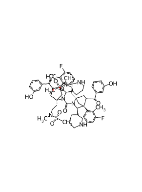 Cc1c(F)cccc1[C@@]12C[C@](CCN(C)S(C)(=O)=O)(CC1C(=O)c1cccc(O)c1)N(C(=O)N1[C@H](C3CCCNC3)[C@]3(c4cccc(F)c4C)C[C@]1(CCN(C)S(C)(=O)=O)CC3C(=O)c1cccc(O)c1)[C@@H]2C1CCCNC1